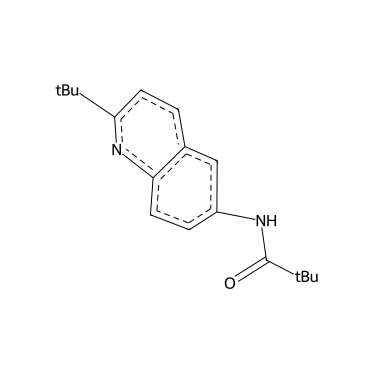 CC(C)(C)C(=O)Nc1ccc2nc(C(C)(C)C)ccc2c1